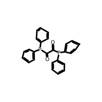 O=C(C(=O)P(c1ccccc1)c1ccccc1)P(c1ccccc1)c1ccccc1